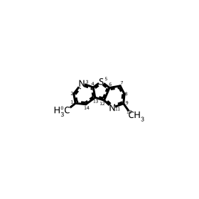 Cc1cnc2sc3ccc(C)nc3c2c1